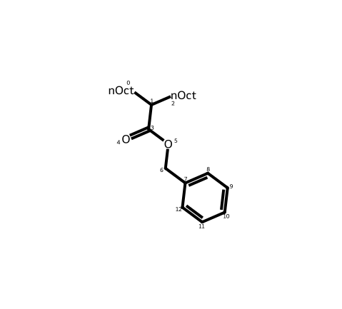 CCCCCCCCC(CCCCCCCC)C(=O)OCc1ccccc1